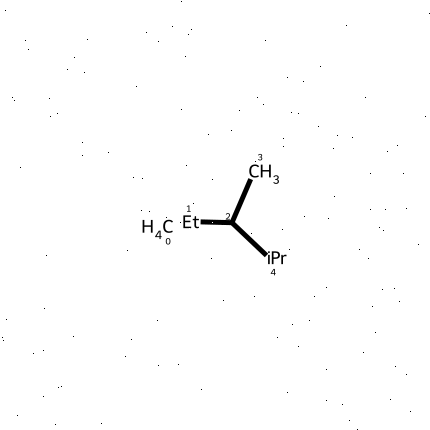 C.CCC(C)C(C)C